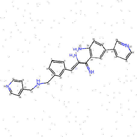 N=C(/C(N)=C/c1cccc(CNCc2ccncc2)c1)c1cc(-c2cccnc2)ccc1N